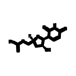 CC(C)C(=O)OC[C@]1(F)C[C@@H](O)[C@H](n2ccc(=O)[nH]c2=O)O1